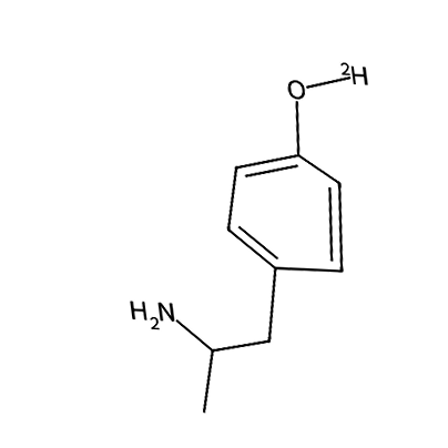 [2H]Oc1ccc(CC(C)N)cc1